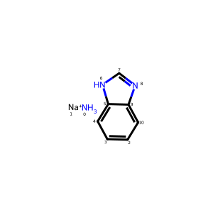 N.[Na+].c1ccc2[nH]cnc2c1